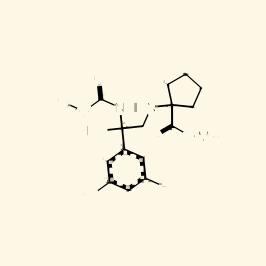 COC(=O)C1(NCC(C)(NC(=O)OC(C)(C)C)c2cc(F)cc(F)c2)CCCC1